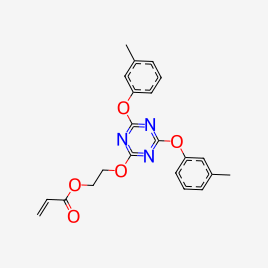 C=CC(=O)OCCOc1nc(Oc2cccc(C)c2)nc(Oc2cccc(C)c2)n1